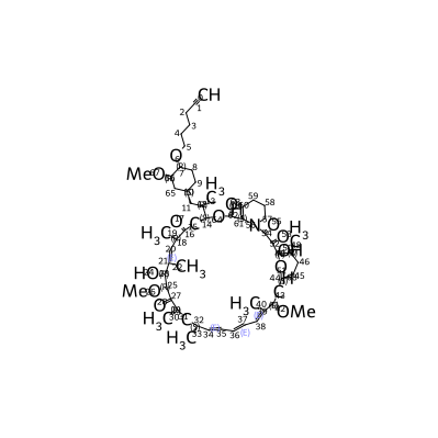 C#CCCCCO[C@@H]1CC[C@@H](C[C@@H](C)[C@@H]2CC(=O)[C@H](C)/C=C(\C)[C@@H](O)[C@@H](OC)C(=O)[C@H](C)C[C@H](C)/C=C/C=C/C=C(\C)[C@@H](OC)C[C@@H]3CC[C@@H](C)[C@@](O)(O3)C(=O)C(=O)N3CCCC[C@H]3C(=O)O2)C[C@H]1OC